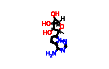 C[C@@]1(c2ccc3c(N)ncnn23)O[C@@H]2C(O)[C@]2(O)[C@H]1O